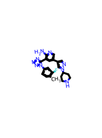 Cc1ccc(-n2nnnc2-c2cc(-c3cnn(C4CCNCC4)c3)cnc2N)cc1F